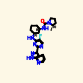 C[C@H]1CCCN1C(=O)N[C@@H]1CCC[C@H](Nc2nc(-c3n[nH]c4ncccc34)ncc2F)C1